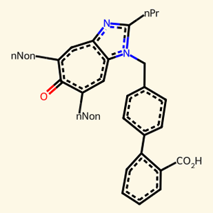 CCCCCCCCCc1cc2nc(CCC)n(Cc3ccc(-c4ccccc4C(=O)O)cc3)c2cc(CCCCCCCCC)c1=O